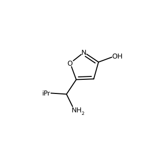 CC(C)C(N)c1cc(O)no1